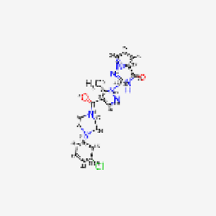 Cc1c(C(=O)N2CCN(c3cccc(Cl)c3)CC2)cnn1-c1nn2cccc2c(=O)[nH]1